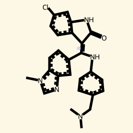 CN(C)Cc1ccc(N/C(=C2\C(=O)Nc3cc(Cl)ccc32)c2ccc3c(c2)ncn3C)cc1